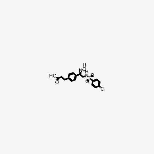 O=C(O)CCc1ccc(C(CNS(=O)(=O)c2ccc(Cl)cc2)=NO)cc1